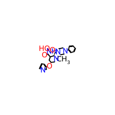 CN1CC(Oc2cccnc2)CC(C(=O)NO)[C@H]1C(=O)N1CCN(c2ccccc2)CC1